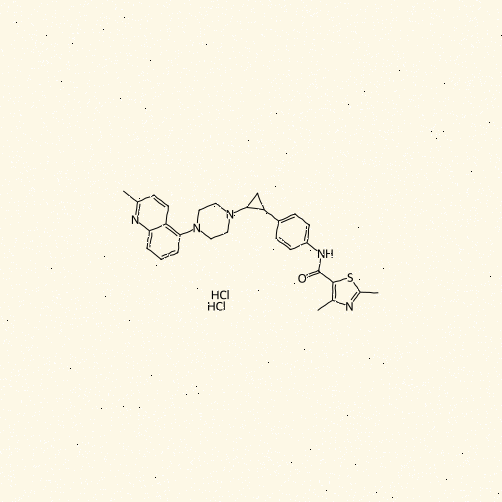 Cc1ccc2c(N3CCN(C4CC4c4ccc(NC(=O)c5sc(C)nc5C)cc4)CC3)cccc2n1.Cl.Cl